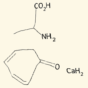 CC(N)C(=O)O.O=C1C=CC=CC1.[CaH2]